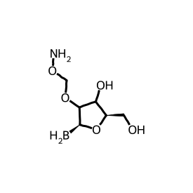 B[C@@H]1O[C@H](CO)C(O)C1OCON